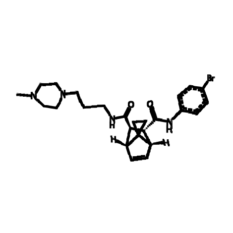 CN1CCN(CCCNC(=O)[C@H]2[C@H](C(=O)Nc3ccc(Br)cc3)[C@@H]3C=C[C@H]2C32CC2)CC1